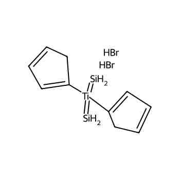 Br.Br.[SiH2]=[Ti](=[SiH2])([C]1=CC=CC1)[C]1=CC=CC1